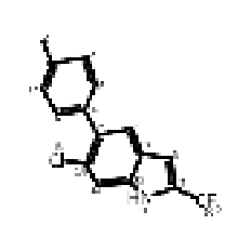 Cc1ccc(-c2cc3cc(C(F)(F)F)[nH]c3cc2Cl)cc1